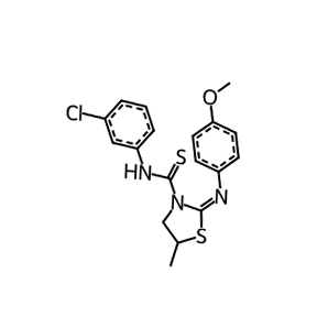 COc1ccc(/N=C2/SC(C)CN2C(=S)Nc2cccc(Cl)c2)cc1